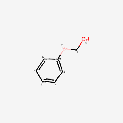 OC[B]c1ccccc1